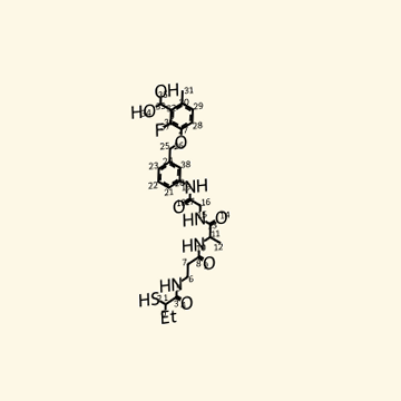 CCC(S)C(=O)NCCC(=O)NC(C)C(=O)NCC(=O)Nc1cccc(COc2ccc(C)c(C(O)O)c2F)c1